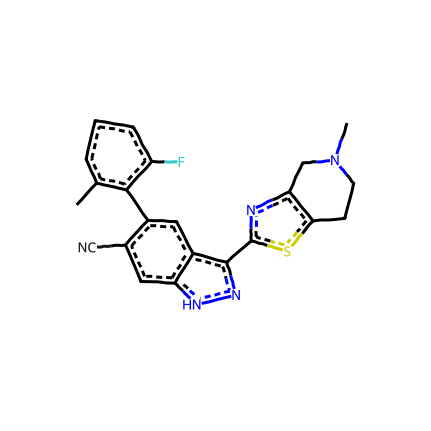 Cc1cccc(F)c1-c1cc2c(-c3nc4c(s3)CCN(C)C4)n[nH]c2cc1C#N